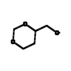 [O]CC1CCOCO1